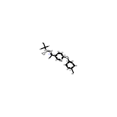 C/C(=N\[S+]([O-])C(C)(C)C)c1ccc(Oc2ccc(C)cc2)nc1